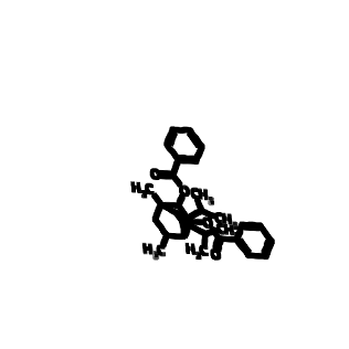 CC1CC2(C)CC(C(C)C)(C(C)C)C1C(OC(=O)c1ccccc1)C2OC(=O)c1ccccc1